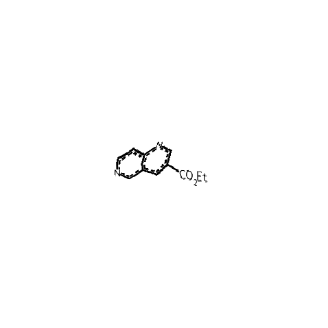 CCOC(=O)c1cnc2ccncc2c1